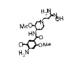 COc1cc(N)c(Cl)cc1C(=O)NC1CCN(CC/C(N)=N\O)CC1OC